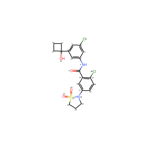 O=C(Nc1cc(Cl)cc(C2(O)CCC2)c1)c1cc(N2CCCS2(=O)=O)ccc1Cl